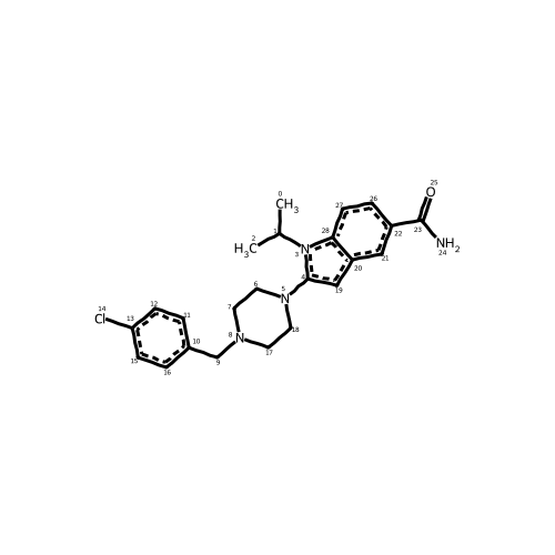 CC(C)n1c(N2CCN(Cc3ccc(Cl)cc3)CC2)cc2cc(C(N)=O)ccc21